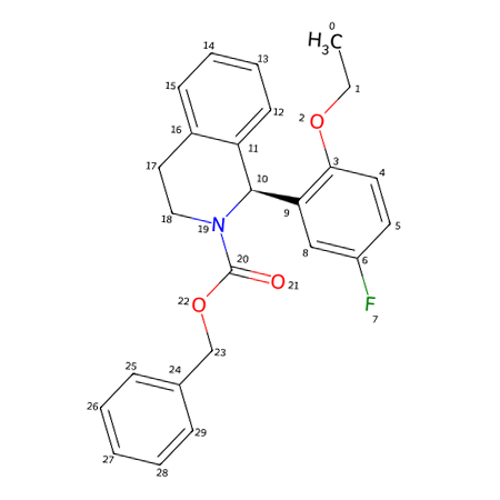 CCOc1ccc(F)cc1[C@@H]1c2ccccc2CCN1C(=O)OCc1ccccc1